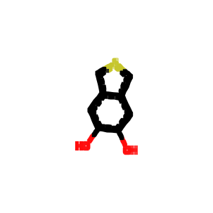 Oc1cc2cscc2cc1O